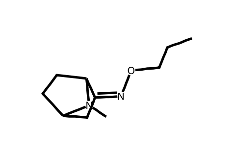 CCCO/N=C1/CC2CCC1N2C